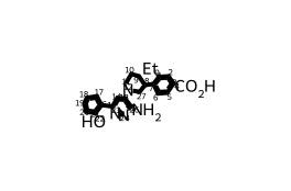 CCc1cc(C(=O)O)ccc1C1CCCN(c2cc(-c3ccccc3O)nnc2N)C1